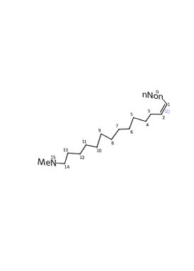 CCCCCCCCC/C=C\CCCCCCCCCCCCNC